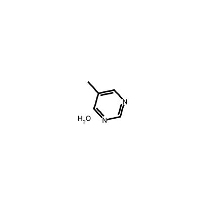 Cc1cncnc1.O